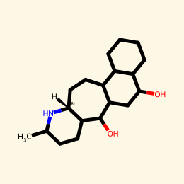 CC1CCC2C(O)C3CC(O)C4CCCCC4C3CC[C@H]2N1